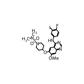 COc1cc2ncnc(Nc3ccc(F)c(I)c3)c2cc1OC1CCN(S(=O)(=O)N(C)C)CC1